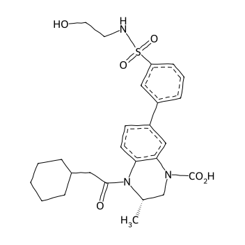 C[C@H]1CN(C(=O)O)c2cc(-c3cccc(S(=O)(=O)NCCO)c3)ccc2N1C(=O)CC1CCCCC1